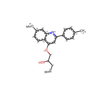 CNCC(O)COc1cc(-c2ccc(C)cc2)nc2cc(OC)ccc12